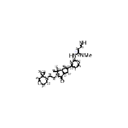 CN/C(=C\C=N)Nc1nccc(-c2cc3c(s2)C(C)(C)N(CCN2CCOCC24CC4)C3=O)n1